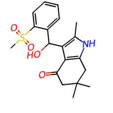 Cc1[nH]c2c(c1C(O)c1ccccc1S(C)(=O)=O)C(=O)CC(C)(C)C2